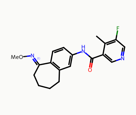 CO/N=C1\CCCCc2cc(NC(=O)c3cncc(F)c3C)ccc21